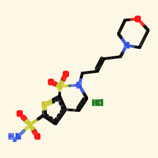 Cl.NS(=O)(=O)c1cc2c(s1)S(=O)(=O)N(CC=CCN1CCOCC1)C=C2